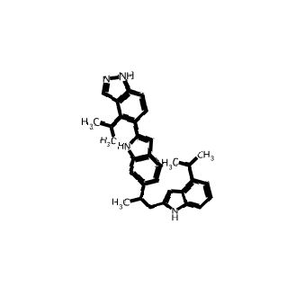 CC(C)c1cccc2[nH]c(CC(C)c3ccc4cc(-c5ccc6[nH]ncc6c5C(C)C)[nH]c4c3)cc12